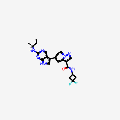 CC[C@H](C)Nc1ncc2c(-c3ccn4ncc(C(=O)NC5CC(F)(F)C5)c4c3)c[nH]c2n1